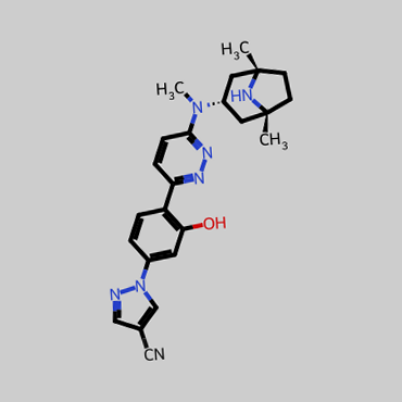 CN(c1ccc(-c2ccc(-n3cc(C#N)cn3)cc2O)nn1)[C@@H]1C[C@]2(C)CC[C@](C)(C1)N2